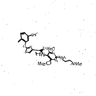 CNCCNc1nc(OC)c(NC(=O)c2csc(Oc3cc(C(C)C)ccc3C)n2)c(OC)n1